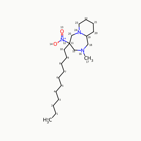 CCCCCCCCCCCC1([N+](=O)[O-])CN(C)CC2CCCCN2C1